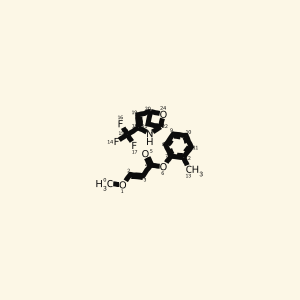 COC=CC(=O)Oc1ccccc1C.FC(F)(F)C1=CC2CC(N1)O2